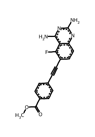 COC(=O)c1ccc(C#Cc2ccc3nc(N)nc(N)c3c2F)cc1